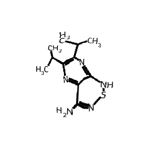 CC(C)c1nc2c(nc1C(C)C)C(N)=NSN2